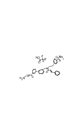 NCCNC(=O)c1cccc(-c2cccc(CN(CCc3ccc(S(N)(=O)=O)cc3)C(=O)/C=C/c3ccccc3)c2)c1.O=C(O)C(F)(F)F